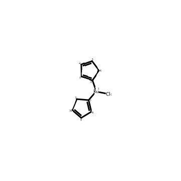 [Cl][Ru]([C]1=CC=CC1)[C]1=CC=CC1